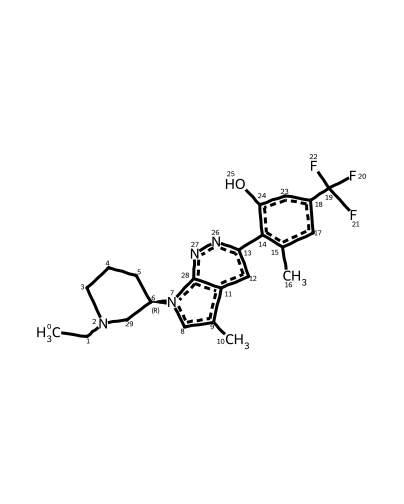 CCN1CCC[C@@H](n2cc(C)c3cc(-c4c(C)cc(C(F)(F)F)cc4O)nnc32)C1